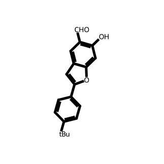 CC(C)(C)c1ccc(-c2cc3cc(C=O)c(O)cc3o2)cc1